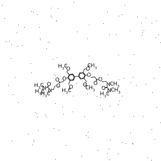 COCc1cc(-c2cc(COC)c(OCC(=O)OCCN(C)C(=O)N(C)C)c(COC)c2)cc(COC)c1OCCC(=O)OCCN(C)C(=O)N(C)C